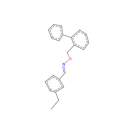 CCc1cccc(/[C]=N/OCc2ccccc2-c2ccccc2)c1